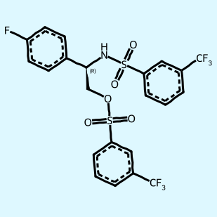 O=S(=O)(N[C@@H](COS(=O)(=O)c1cccc(C(F)(F)F)c1)c1ccc(F)cc1)c1cccc(C(F)(F)F)c1